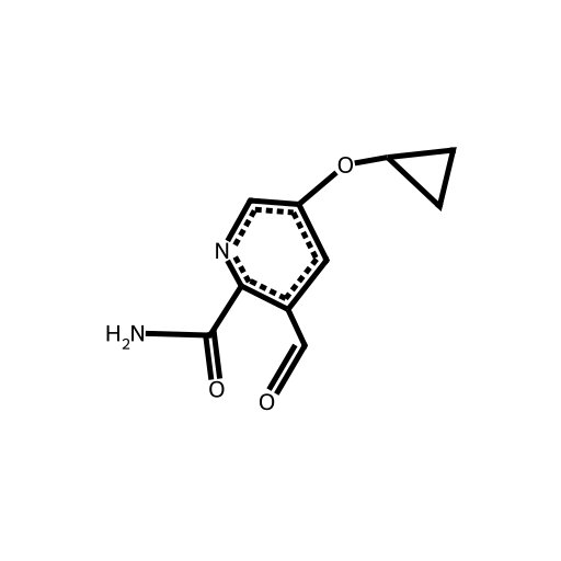 NC(=O)c1ncc(OC2CC2)cc1C=O